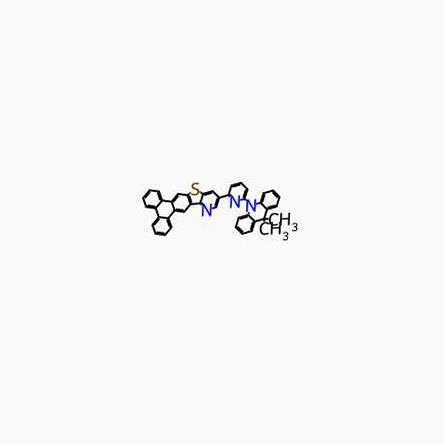 CC1(C)c2ccccc2N(c2cccc(-c3cnc4c(c3)sc3cc5c6ccccc6c6ccccc6c5cc34)n2)c2ccccc21